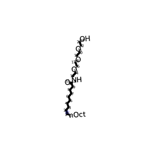 CCCCCCCC/C=C\CCCCCCCC(=O)NCCOCCOCCOCCO